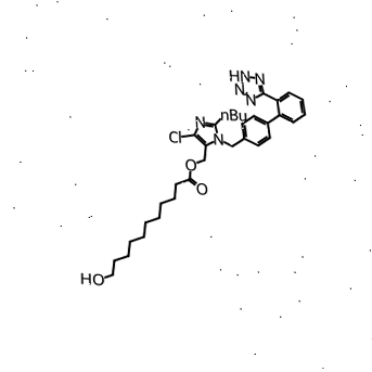 CCCCc1nc(Cl)c(COC(=O)CCCCCCCCCCO)n1Cc1ccc(-c2ccccc2-c2nn[nH]n2)cc1